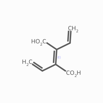 C=C/C(C(=O)O)=C(/C=C)C(=O)O